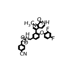 Cn1cc(-c2cc(CNS(=O)(=O)Cc3ccc(C#N)cc3)ccc2Oc2ccc(F)cc2F)c2cc[nH]c(=O)c21